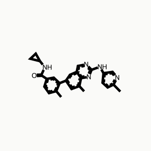 Cc1ccc(Nc2ncc3cc(-c4cc(C(=O)NC5CC5)ccc4C)cc(C)c3n2)cn1